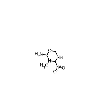 CN1C(N)OCNC1[N+](=O)[O-]